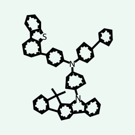 CC1(C)c2ccccc2-c2ccc3c4ccccc4n(-c4ccc(N(c5ccc(-c6ccccc6)cc5)c5ccc(-c6cccc7c6sc6ccccc67)cc5)cc4)c3c21